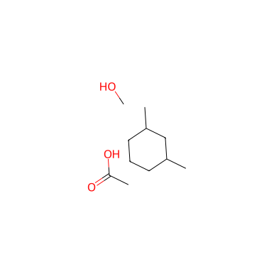 CC(=O)O.CC1CCCC(C)C1.CO